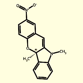 CN1C2=Cc3cc([N+](=O)[O-])ccc3O[C@]2(C)c2ccccc21